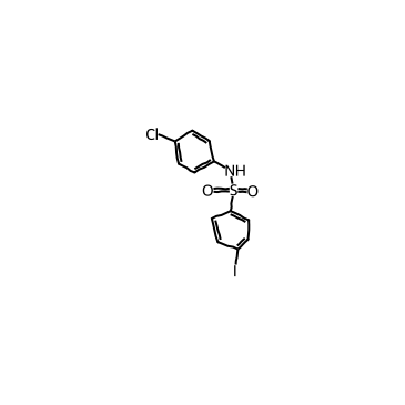 O=S(=O)(Nc1ccc(Cl)cc1)c1ccc(I)cc1